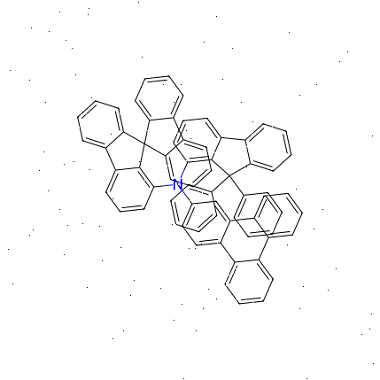 c1ccc(C2(c3ccccc3)c3ccccc3-c3cccc(N(c4ccc5c6ccccc6c6ccccc6c5c4)c4cccc5c4C4(c6ccccc6-c6ccccc64)c4ccccc4-5)c32)cc1